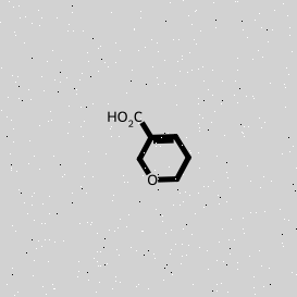 O=C(O)C1=CCCOC1